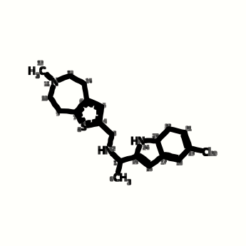 CC(NCc1cc2c(s1)CCN(C)CC2)C1=CC2=CC(Cl)=CCC2N1